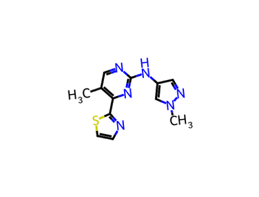 Cc1cnc(Nc2cnn(C)c2)nc1-c1nccs1